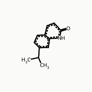 CC(C)c1ccc2ccc(=O)[nH]c2c1